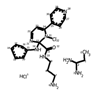 CCC(N)N.Cl.NCCCNC(=O)C1(Nc2ccccc2)N=CC=C(c2ccncc2)N1Cl